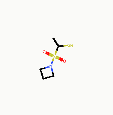 CC(S)S(=O)(=O)N1CCC1